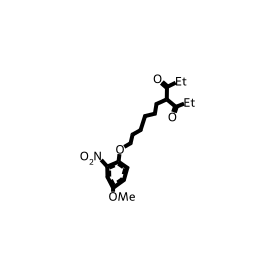 CCC(=O)C(CCCCCCOc1ccc(OC)cc1[N+](=O)[O-])C(=O)CC